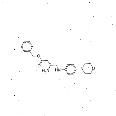 N[C@H](CNc1ccc(N2CCOCC2)cc1)CC(=O)OCc1ccccc1